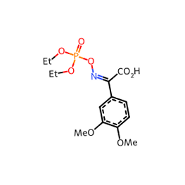 CCOP(=O)(OCC)ON=C(C(=O)O)c1ccc(OC)c(OC)c1